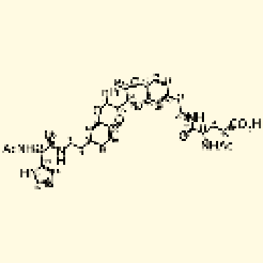 CCCC1OC2=CC(CCNC(=O)C(NC(C)=O)c3cnc[nH]3)CC=C2OC1C1Oc2cc(CCNC(=O)C(CCC(=O)O)NC(C)=O)ccc2OC1C